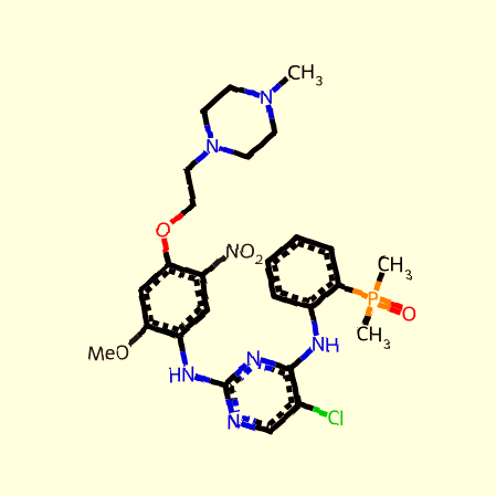 COc1cc(OCCN2CCN(C)CC2)c([N+](=O)[O-])cc1Nc1ncc(Cl)c(Nc2ccccc2P(C)(C)=O)n1